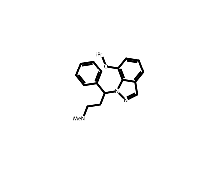 CNCCC(c1ccccc1)n1ncc2cccc(OC(C)C)c21